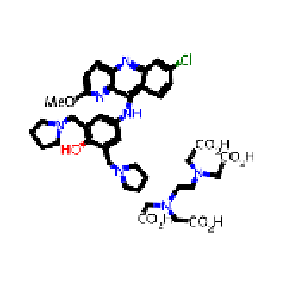 COc1ccc2nc3cc(Cl)ccc3c(Nc3cc(CN4CCCC4)c(O)c(CN4CCCC4)c3)c2n1.O=C(O)CN(CCN(CC(=O)O)CC(=O)O)CC(=O)O